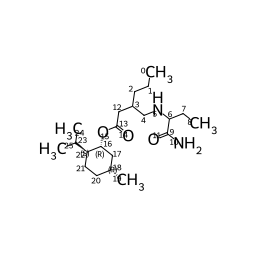 CCCC(CNC(CC)C(N)=O)CC(=O)O[C@@H]1C[C@H](C)CC[C@H]1C(C)C